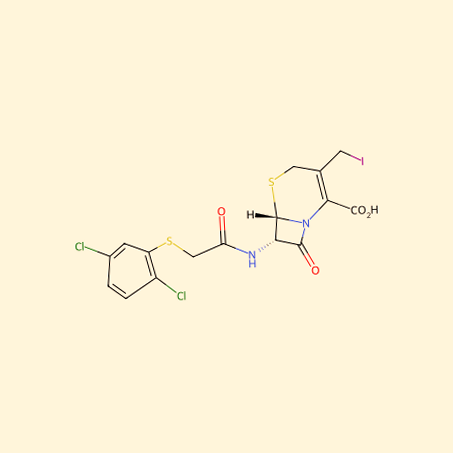 O=C(CSc1cc(Cl)ccc1Cl)N[C@H]1C(=O)N2C(C(=O)O)=C(CI)CS[C@@H]12